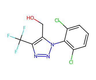 OCc1c(C(F)(F)F)nnn1-c1c(Cl)cccc1Cl